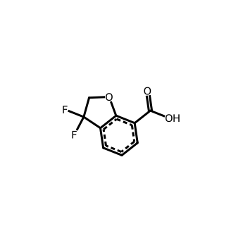 O=C(O)c1cccc2c1OCC2(F)F